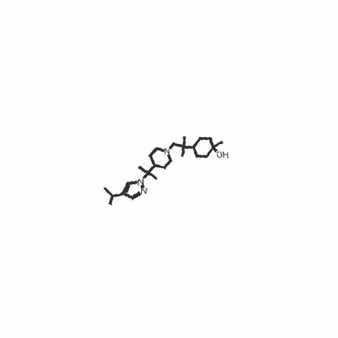 CC(C)c1cnn(C(C)(C)C2CCN(CC(C)(C)C3CCC(C)(O)CC3)CC2)c1